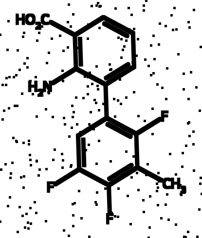 Cc1c(F)c(F)cc(-c2cccc(C(=O)O)c2N)c1F